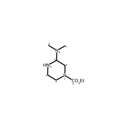 CCOC(=O)N1CCNC(N(C)C)C1